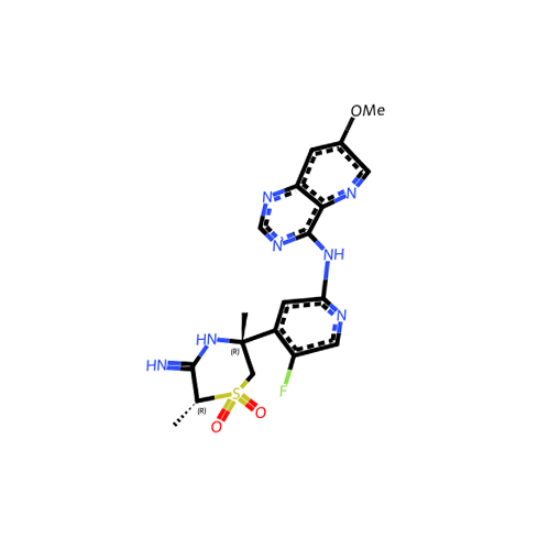 COc1cnc2c(Nc3cc([C@]4(C)CS(=O)(=O)[C@H](C)C(=N)N4)c(F)cn3)ncnc2c1